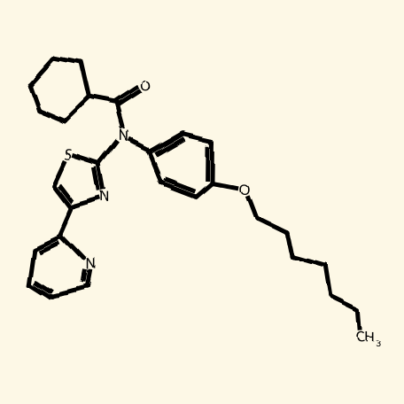 CCCCCCCOc1ccc(N(C(=O)C2CCCCC2)c2nc(-c3ccccn3)cs2)cc1